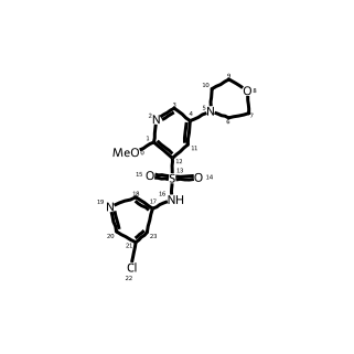 COc1ncc(N2CCOCC2)cc1S(=O)(=O)Nc1cncc(Cl)c1